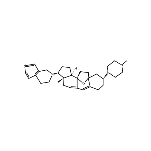 CN1CCN([C@H]2CCC3=CC4=CC[C@]5(C)[C@@H](N6CCc7ccncc7C6)CC[C@H]5[C@@]45CC[C@]3(C2)O5)CC1